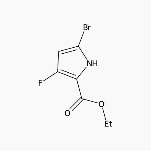 CCOC(=O)c1[nH]c(Br)cc1F